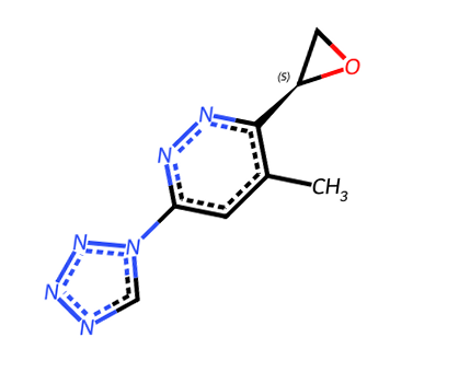 Cc1cc(-n2cnnn2)nnc1[C@H]1CO1